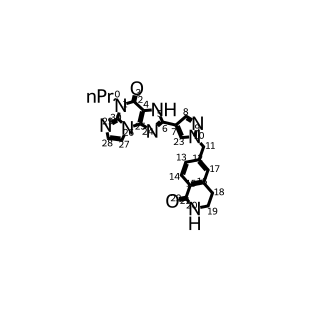 CCCn1c(=O)c2[nH]c(-c3cnn(Cc4ccc5c(c4)CCNC5=O)c3)nc2n2ccnc12